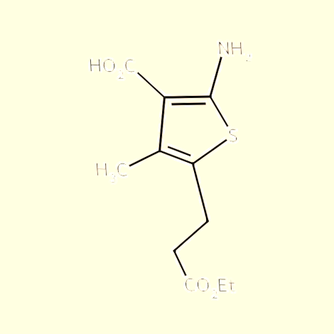 CCOC(=O)CCc1sc(N)c(C(=O)O)c1C